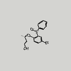 CCc1ccc(O[C@@H](C)CCO)c([S+]([O-])c2ccccc2)c1